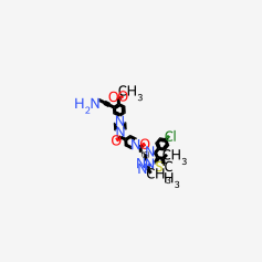 COC(=O)c1ccc(N2CCN(C(=O)C3CCN(C(=O)C[C@@H]4N=C(c5ccc(Cl)cc5)c5c(sc(C)c5C)-n5c(C)nnc54)CC3)CC2)cc1C#CCN